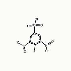 O=[N+]([O-])c1cc(S(=O)(=O)O)cc([N+](=O)[O-])c1F